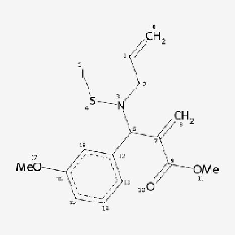 C=CCN(SI)C(C(=C)C(=O)OC)c1cccc(OC)c1